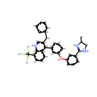 CC1CNC(c2cccc(Oc3cccc(-c4c(Cc5ccccc5)cnc5c(C(F)(F)F)cccc45)c3)c2)=N1